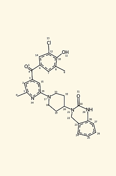 Cc1cc(C(=O)c2cc(C)c(O)c(Cl)c2)cc(N2CCC(N3Cc4ccccc4NC3=O)CC2)n1